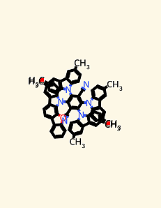 Cc1ccc2c(c1)c1cc(C)ccc1n2-c1c(C#N)c(-n2c3ccc(C)cc3c3cc(C)ccc32)c(-n2c3ccc(C)cc3c3ccc4c5ccccc5oc4c32)c(C#N)c1-n1c2ccc(C)cc2c2cc(C)ccc21